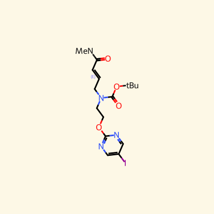 CNC(=O)/C=C/CN(CCOc1ncc(I)cn1)C(=O)OC(C)(C)C